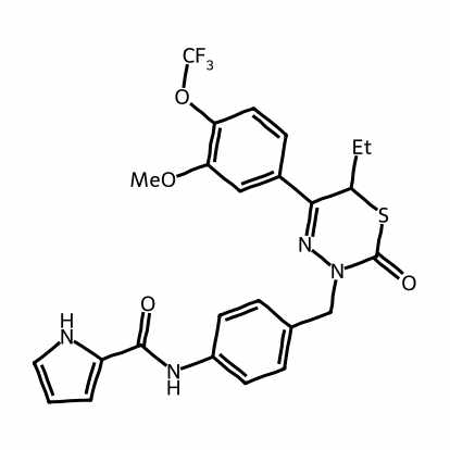 CCC1SC(=O)N(Cc2ccc(NC(=O)c3ccc[nH]3)cc2)N=C1c1ccc(OC(F)(F)F)c(OC)c1